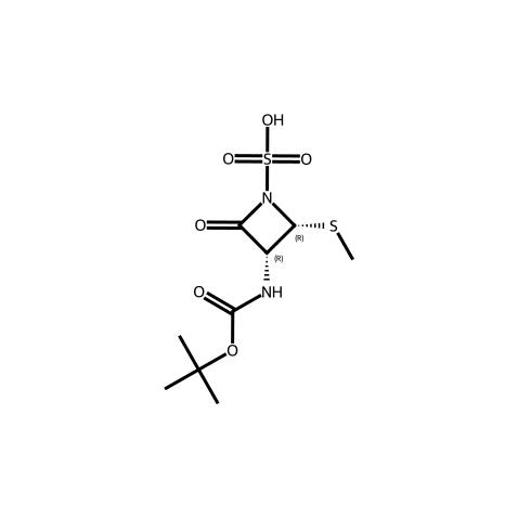 CS[C@@H]1[C@H](NC(=O)OC(C)(C)C)C(=O)N1S(=O)(=O)O